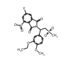 CCOc1cc(C(CS(C)(=O)=O)N2C(=O)c3cc(F)cc([N+](=O)[O-])c3C2=O)ccc1OC